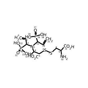 C=CC(N(C(CSSCC(N)C(=O)O)C(=O)O)C(C=C)P(=O)(O)O)P(=O)(O)O